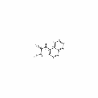 O=C(Bc1cccc2ccccc12)OF